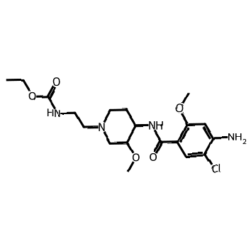 CCOC(=O)NCCN1CCC(NC(=O)c2cc(Cl)c(N)cc2OC)C(OC)C1